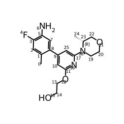 Cc1cc(F)c(N)cc1-c1cc(OCCO)nc(N2CCOC[C@H]2C)c1